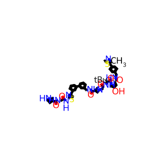 Cc1ncsc1-c1ccc(CNC(=O)[C@@H]2C[C@@H](O)CN2C(=O)[C@@H](NC(=O)CN2CC(C(=O)NCc3cccc(-c4cccc(-c5csc(NC(=O)CNC(=O)c6cc[nH]c6)n5)c4)c3)C2)C(C)(C)C)cc1